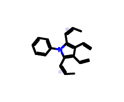 C=Cc1c(C=C)c(/C=C\C)n(-c2ccccc2)c1/C=C\C